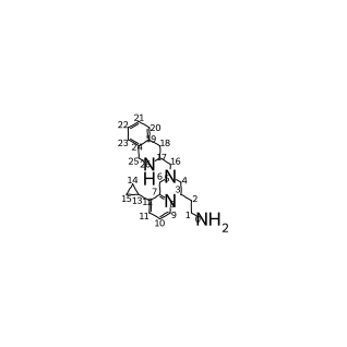 NCCCCN(Cc1ncccc1C1CC1)CC1Cc2ccccc2CN1